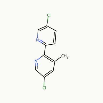 Cc1cc(Cl)cnc1-c1ccc(Cl)cn1